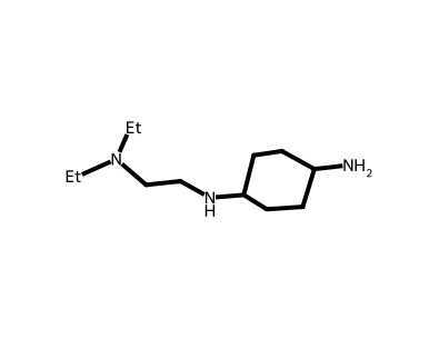 CCN(CC)CCNC1CCC(N)CC1